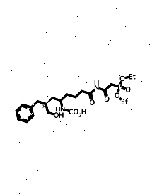 CCOP(=O)(CC(=O)NC(=O)CCCC(C[C@@H](CO)Cc1ccccc1)NC(=O)O)OCC